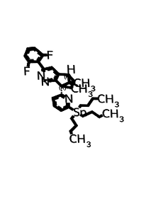 CCC[CH2][Sn]([CH2]CCC)([CH2]CCC)[c]1cccc([C@]23CC[C@@H](c4cc(-c5c(F)cccc5F)nnc42)C3(C)C)n1